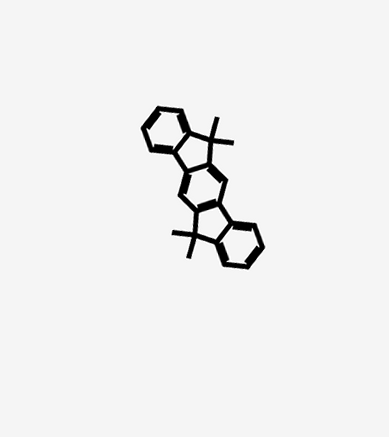 CC1(C)c2ccccc2-c2cc3c(cc21)-c1ccccc1C3(C)C